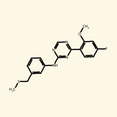 COc1cc(F)ccc1-c1ncnc(Nc2cccc(CSC)c2)n1